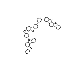 c1cc(-c2ccc3oc4c(ccc5c6ccccc6oc54)c3c2)cc(-c2ccc3oc4c(ccc5oc6ccc(-n7c8ccccc8c8c9sc%10ccccc%10c9ccc87)cc6c54)c3c2)c1